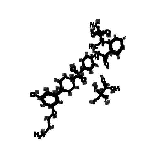 CN(c1ccccc1C(=O)Nc1ccc(S(=O)(=O)N2CCN(c3cc(Cl)cc(OCCN)c3)CC2)cc1)S(C)(=O)=O.O=C(O)C(F)(F)F